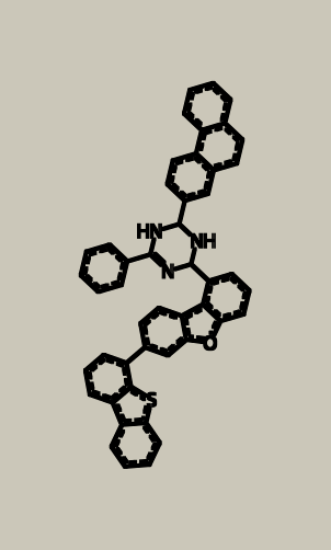 c1ccc(C2=NC(c3cccc4oc5cc(-c6cccc7c6sc6ccccc67)ccc5c34)NC(c3ccc4c(ccc5ccccc54)c3)N2)cc1